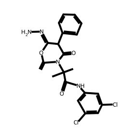 C=C1OC(=NN)C(c2ccccc2)C(=O)N1C(C)(C)C(=O)Nc1cc(Cl)cc(Cl)c1